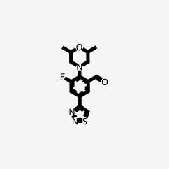 CC1CN(c2c(F)cc(-c3csnn3)cc2C=O)CC(C)O1